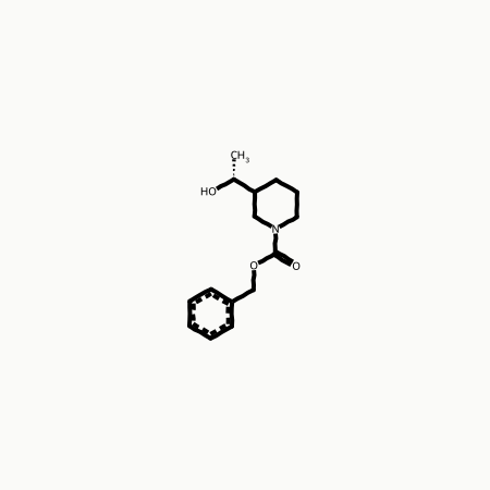 C[C@@H](O)C1CCCN(C(=O)OCc2ccccc2)C1